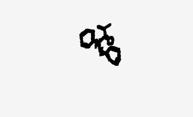 C=C(C)C(=O)N(Sc1ccccc1)c1ccccc1